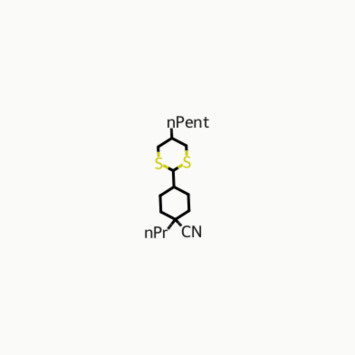 CCCCCC1CSC(C2CCC(C#N)(CCC)CC2)SC1